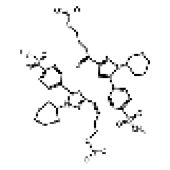 CS(=O)(=O)c1ccc(-c2cc(/C=C\CCO[N+](=O)[O-])nn2C2CCCCC2)cc1.CS(=O)(=O)c1ccc(-c2cc(C(=O)CCCO[N+](=O)[O-])nn2C2CCCCC2)cc1